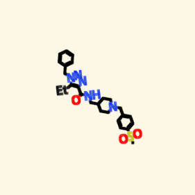 CCc1c(C(=O)NCC2CCN(Cc3ccc(S(C)(=O)=O)cc3)CC2)nnn1Cc1ccccc1